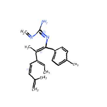 C=N/C(N)=N\C(=C(/C)C(=CC)/C=C\C(=C)C)c1ccc(C)cc1